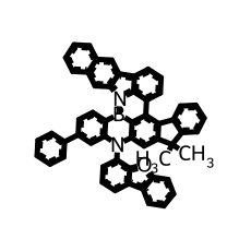 CC1(C)c2ccccc2-c2c1cc1c3c2-c2cccc4c5cc6ccccc6cc5n(c24)B3c2ccc(-c3ccccc3)cc2N1c1cccc2c1oc1ccccc12